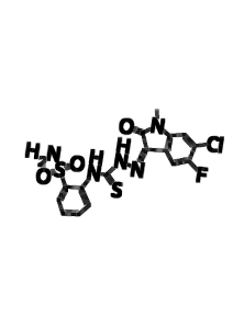 CN1C(=O)C(=NNC(=S)Nc2ccccc2S(N)(=O)=O)c2cc(F)c(Cl)cc21